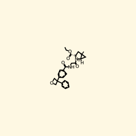 CCOC(=O)[C@@H]1C[C@]2(C)C[C@@H]2N1C(=O)CNC(=O)c1ccc(C2(c3ccccc3)COC2)cc1